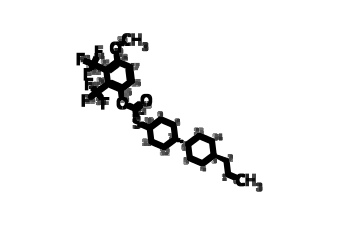 CCC[C@H]1CC[C@H](C2CCC(SC(=O)Oc3ccc(OC)c(C(F)(F)F)c3C(F)(F)F)CC2)CC1